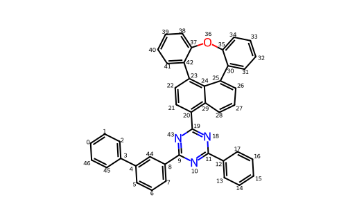 c1ccc(-c2cccc(-c3nc(-c4ccccc4)nc(-c4ccc5c6c(cccc46)-c4ccccc4Oc4ccccc4-5)n3)c2)cc1